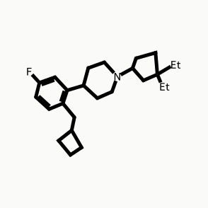 CCC1(CC)CCC(N2CCC(c3cc(F)ccc3CC3CCC3)CC2)C1